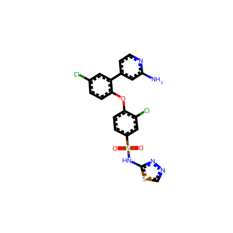 Nc1cc(-c2cc(Cl)ccc2Oc2ccc(S(=O)(=O)Nc3nncs3)cc2Cl)ccn1